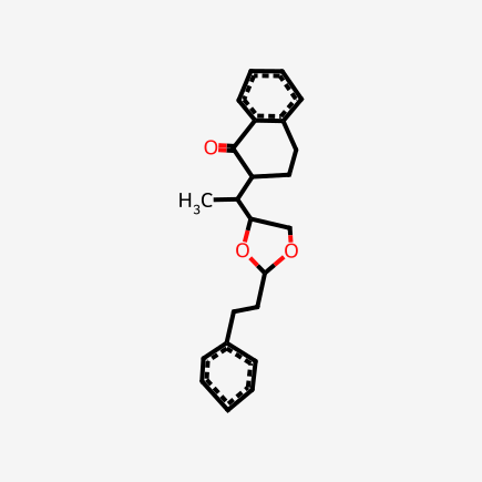 CC(C1COC(CCc2ccccc2)O1)C1CCc2ccccc2C1=O